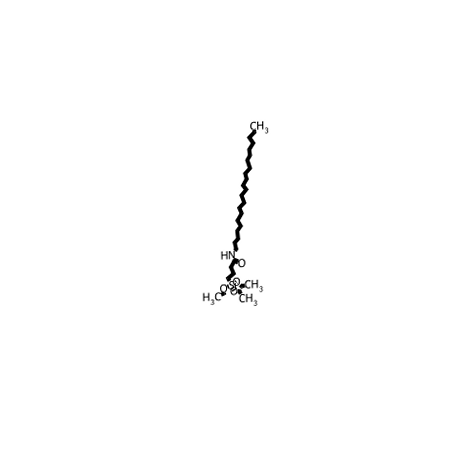 CCCCCCCCCCCCCCCCCCCCCCNC(=O)CCC[Si](OCC)(OCC)OCC